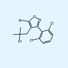 CCC(C)(C)Cc1c(-c2c(Cl)cccc2Cl)noc1C(C)C